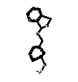 COc1cccc(COC2OCc3cccnc32)c1